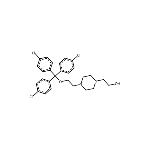 OCCN1CCN(CCOC(c2ccc(Cl)cc2)(c2ccc(Cl)cc2)c2ccc(Cl)cc2)CC1